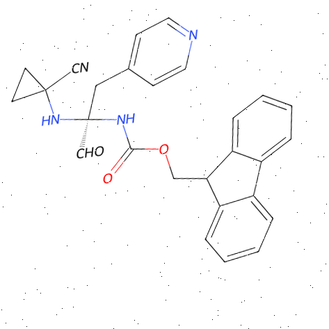 N#CC1(N[C@@](C=O)(Cc2ccncc2)NC(=O)OCC2c3ccccc3-c3ccccc32)CC1